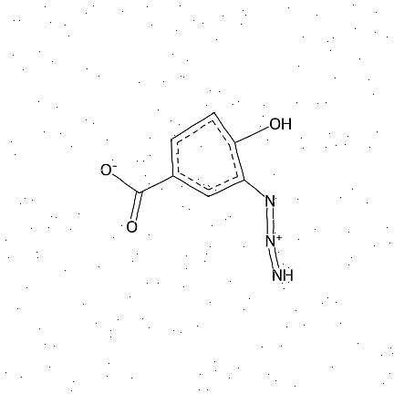 N=[N+]=Nc1cc(C(=O)[O-])ccc1O